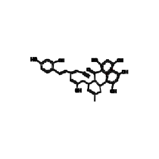 C#C/C=C(/C=C/c1ccc(O)cc1O)\C=C(\O)CC1C=C(C)CC(c2ccc(O)cc2O)C1C(=O)c1ccc(O)cc1O